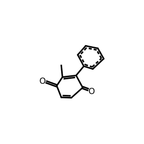 CC1=C(c2ccccc2)C(=O)C=CC1=O